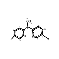 Cc1ccc(C(c2ccc(C)cc2)C(Cl)(Cl)Cl)cc1